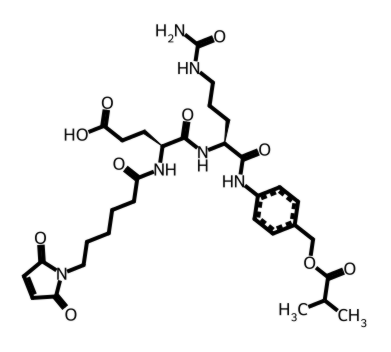 CC(C)C(=O)OCc1ccc(NC(=O)[C@H](CCCNC(N)=O)NC(=O)[C@H](CCC(=O)O)NC(=O)CCCCCN2C(=O)C=CC2=O)cc1